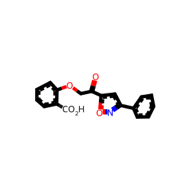 O=C(COc1ccccc1C(=O)O)c1cc(-c2ccccc2)no1